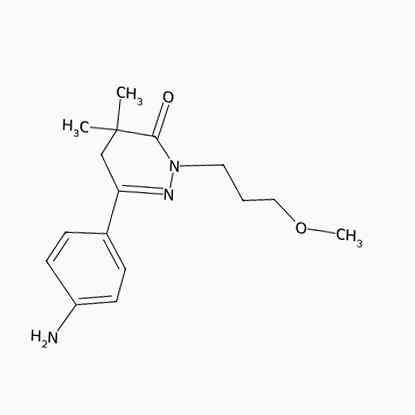 COCCCN1N=C(c2ccc(N)cc2)CC(C)(C)C1=O